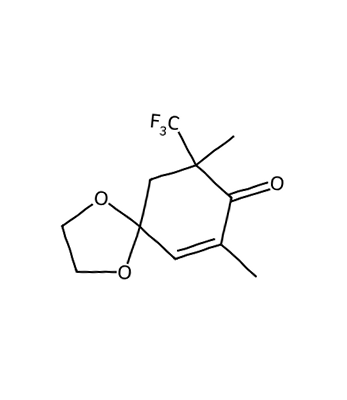 CC1=CC2(CC(C)(C(F)(F)F)C1=O)OCCO2